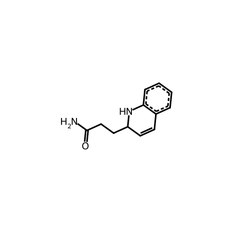 NC(=O)CCC1C=Cc2ccccc2N1